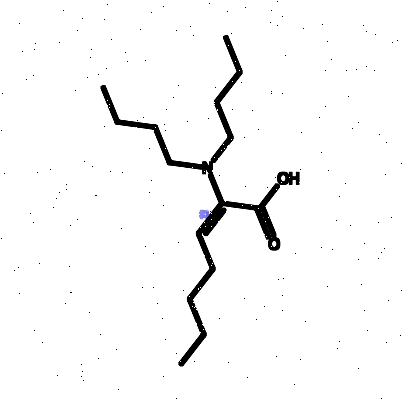 CCCC/C=C(\C(=O)O)N(CCCC)CCCC